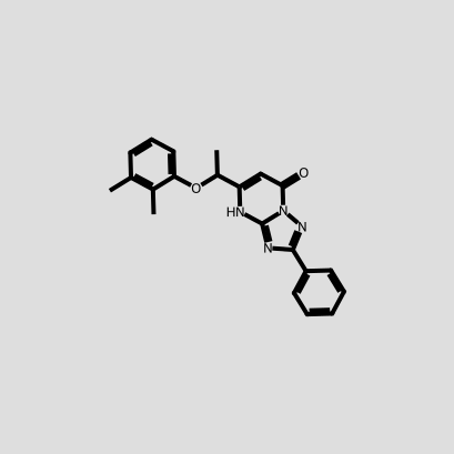 Cc1cccc(OC(C)c2cc(=O)n3nc(-c4ccccc4)nc3[nH]2)c1C